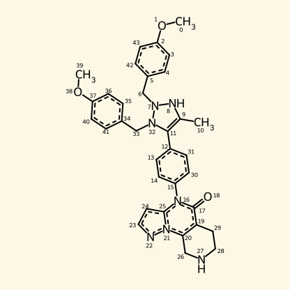 COc1ccc(CN2NC(C)=C(c3ccc(-n4c(=O)c5c(n6nccc46)CNCC5)cc3)N2Cc2ccc(OC)cc2)cc1